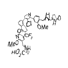 COc1cc(-c2nccc(-c3cccc4c3CCC[C@@H]4Oc3nc(OC)c(CNC4(C(=O)O)CC4)cc3C(F)(F)F)c2Cl)ccc1CNC[C@H]1CCC(=O)N1